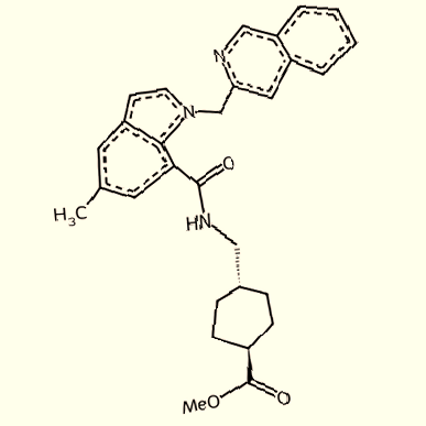 COC(=O)[C@H]1CC[C@H](CNC(=O)c2cc(C)cc3ccn(Cc4cc5ccccc5cn4)c23)CC1